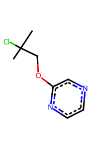 CC(C)(Cl)COc1cnccn1